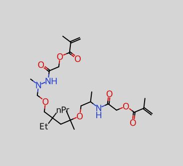 C=C(C)C(=O)OCC(=O)NC(C)COC(C)(C)CC(CC)(CCC)COCN(C)NC(=O)COC(=O)C(=C)C